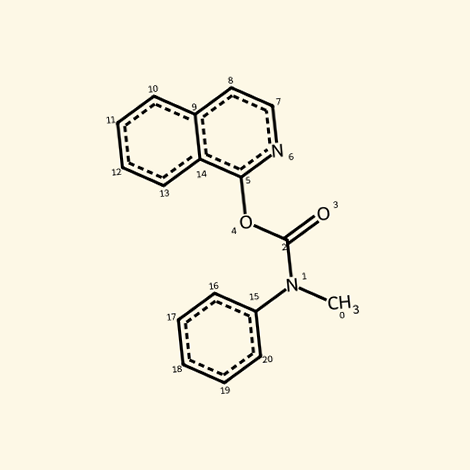 CN(C(=O)Oc1nccc2ccccc12)c1ccccc1